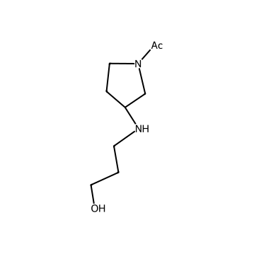 CC(=O)N1CCC(NCCCO)C1